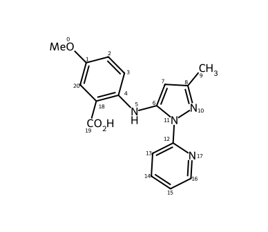 COc1ccc(Nc2cc(C)nn2-c2ccccn2)c(C(=O)O)c1